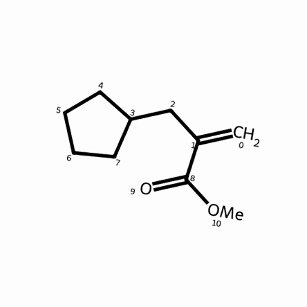 C=C(CC1CCCC1)C(=O)OC